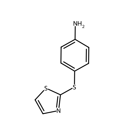 Nc1ccc(Sc2nccs2)cc1